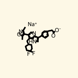 Cc1noc(C)c1-c1cnc2c(-c3ccc(CC(=O)[O-])cc3)c[nH]c2c1CC1CCC(F)(F)CC1.[Na+]